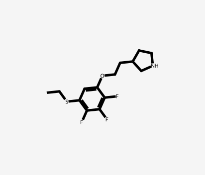 CCSc1cc(OCCC2CCNC2)c(F)c(F)c1F